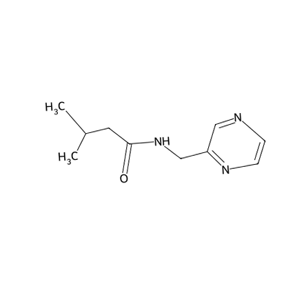 CC(C)CC(=O)NCc1cnccn1